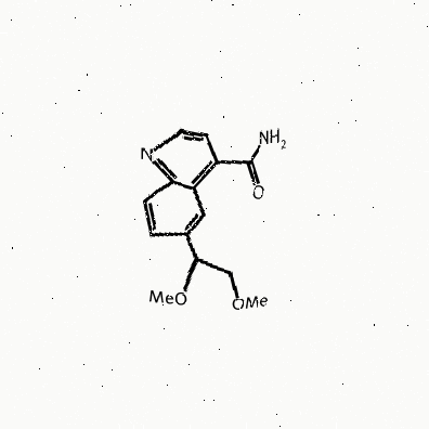 COCC(OC)c1ccc2nccc(C(N)=O)c2c1